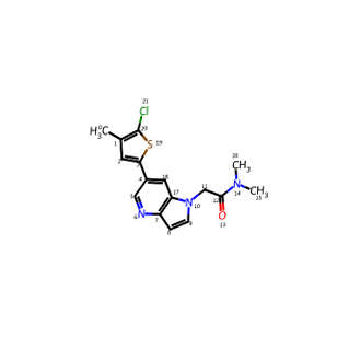 Cc1cc(-c2cnc3ccn(CC(=O)N(C)C)c3c2)sc1Cl